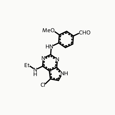 CCNc1nc(Nc2ccc(C=O)cc2OC)nc2[nH]cc(Cl)c12